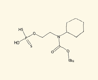 CC(C)(C)OC(=O)N(CCOP(O)(=S)S)C1CCCCC1